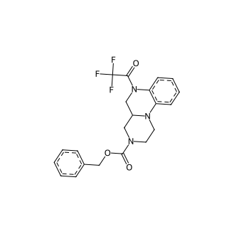 O=C(OCc1ccccc1)N1CCN2c3ccccc3N(C(=O)C(F)(F)F)CC2C1